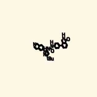 CC(C)(C)c1cc(NC(=O)Nc2ccc(-c3cccc4c3CNC4=O)cc2)n(-c2ccc3cnccc3c2)n1